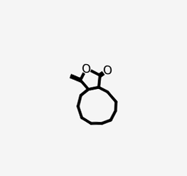 C=C1OC(=O)C2CCCCCCCCCC12